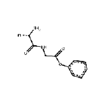 CC(C)[C@H](N)C(=O)NCC(=O)Oc1ccccc1